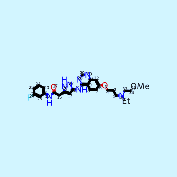 [CH2]CN(CCCOc1ccc2c(Nc3cc(CC(=O)Nc4cccc(F)c4)[nH]n3)ncnc2c1)CCOC